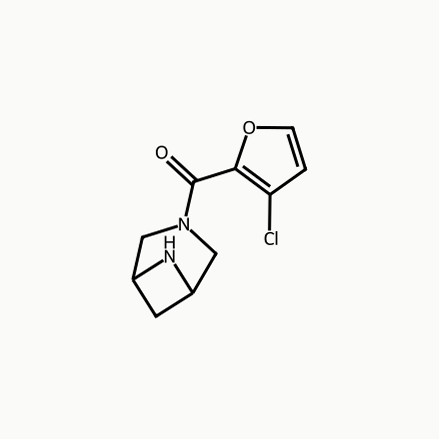 O=C(c1occc1Cl)N1CC2CC(C1)N2